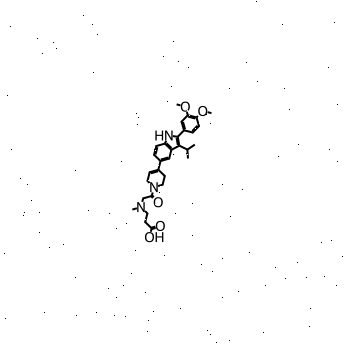 COc1ccc(-c2[nH]c3ccc(C4=CCN(C(=O)CN(C)CCC(=O)O)CC4)cc3c2C(C)C)cc1OC